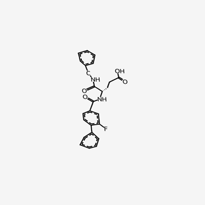 O=C(O)CC[C@H](NC(=O)c1ccc(-c2ccccc2)c(F)c1)C(=O)NCc1ccccc1